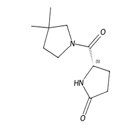 CC1(C)CCN(C(=O)[C@@H]2CCC(=O)N2)C1